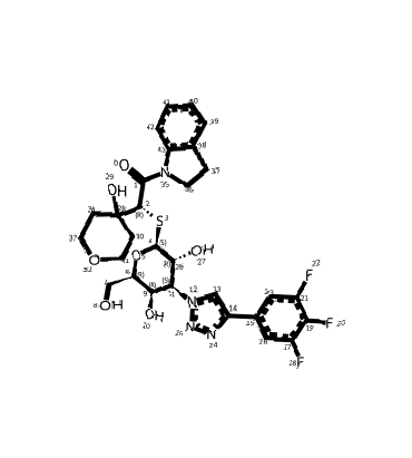 O=C([C@H](S[C@@H]1O[C@H](CO)[C@H](O)[C@H](n2cc(-c3cc(F)c(F)c(F)c3)nn2)[C@H]1O)C1(O)CCOCC1)N1CCc2ccccc21